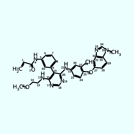 C=CC(=O)Nc1cccc(-c2c(NCCOC)ncnc2Nc2ccc(Oc3ccc4c(c3)ncn4C)c(C)c2)c1